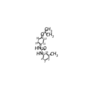 Cc1cccc(NC(=O)Nc2ccc(OC(C)C)cc2)c1